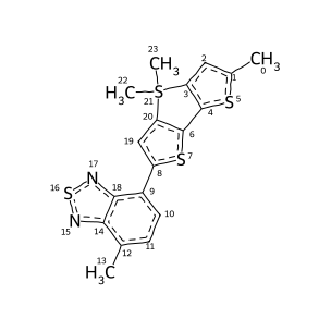 Cc1cc2c(s1)-c1sc(-c3ccc(C)c4nsnc34)cc1S2(C)C